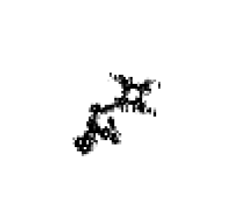 C=CC(=O)N1CCN(c2nc(OC[C@@H]3CCCN3CCCCNC(=O)CN3CCN(CC(=O)O)CCN(CC(=O)O)CCN(CC(=O)O)CC3)nc3c2CCN(c2cccc4cccc(Cl)c24)C3)C[C@@H]1CC#N